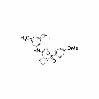 COc1ccc(S(=O)(=O)N2CCCC2C(=O)Nc2cc(C)cc(C)c2)cc1